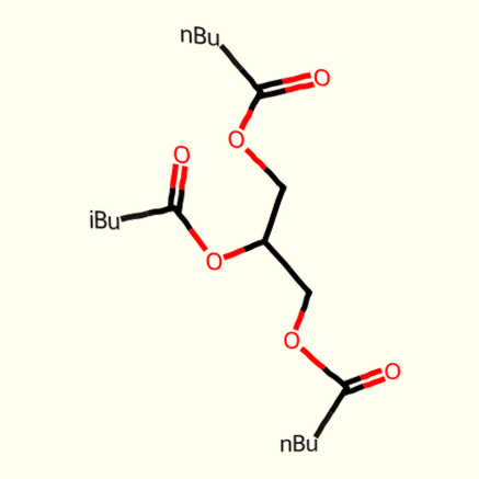 CCCCC(=O)OCC(COC(=O)CCCC)OC(=O)C(C)CC